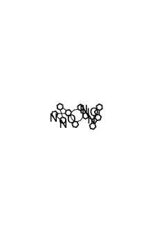 c1ccc2c(c1)Cc1cc(-n3c4ccccc4c4ccc5c6ccccc6oc5c43)cnc1-c1ncccc1Cc1cc3c(cc1O2)C1(c2ccccc2-3)c2ccncc2-c2ncccc21